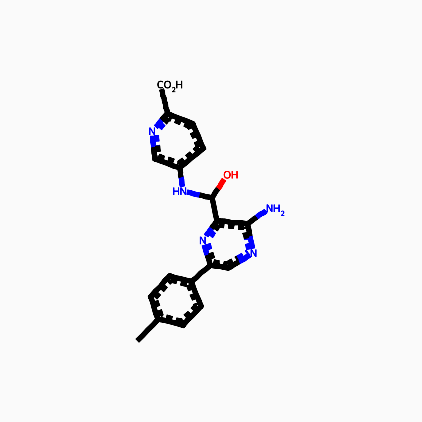 Cc1ccc(-c2cnc(N)c(C(O)Nc3ccc(C(=O)O)nc3)n2)cc1